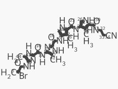 C=C(Br)C(=O)Nc1nc(C(=O)Nc2nc(C(=O)Nc3c[nH]c(C(=O)Nc4c[nH]c(C(=O)NCCC#N)c4C)c3C)[nH]c2C)[nH]c1C